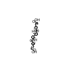 Cc1c(NC(=O)c2ccc(CN3CC[C@H]3C(=O)O)cn2)cccc1-c1cccc(NC(=O)c2ccc(CN3CC[C@H]3C(=O)O)cn2)c1C